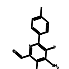 Cc1ccc(-c2nc(C=O)c(Cl)c(N)c2F)cc1